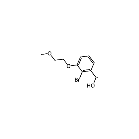 COCCOc1cccc([CH]O)c1Br